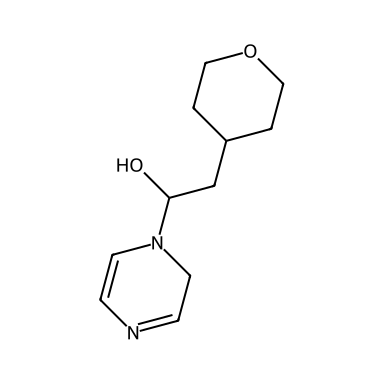 OC(CC1CCOCC1)N1C=CN=CC1